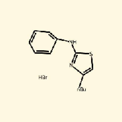 Br.CCCCc1csc(Nc2ccccc2)n1